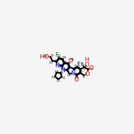 CC[C@@]1(O)C(=O)OCc2c1cc1n(c2=O)Cc2c-1c(=O)c1cc(F)c(CCO)nc1n2C1CCCC1